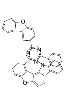 C1=c2oc3ccc4c5ccccc5n(-c5ccccc5)c4c3c2=C(c2nc(-c3ccccc3)nc(-c3ccc4oc5ccccc5c4c3)n2)CC1